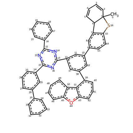 CC12C=CC=CC1c1cc(-c3cc(-c4nc(-c5ccccc5)nc(-c5cccc(-c6ccccc6)c5)n4)cc(-c4cccc5oc6ccccc6c45)c3)ccc1S2